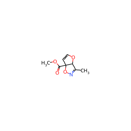 COC(=O)C12C=COC1C(C)=NO2